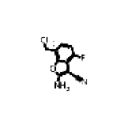 CCc1ccc(F)c2c(C#N)c(N)oc12